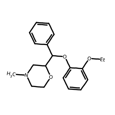 CCOc1ccccc1OC(c1ccccc1)C1CN(C)CCO1